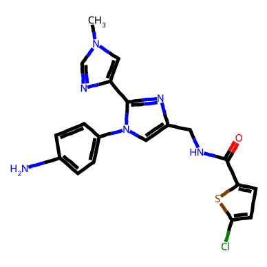 Cn1cnc(-c2nc(CNC(=O)c3ccc(Cl)s3)cn2-c2ccc(N)cc2)c1